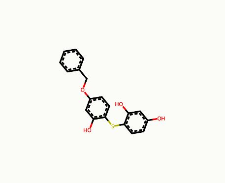 Oc1ccc(Sc2ccc(OCc3ccccc3)cc2O)c(O)c1